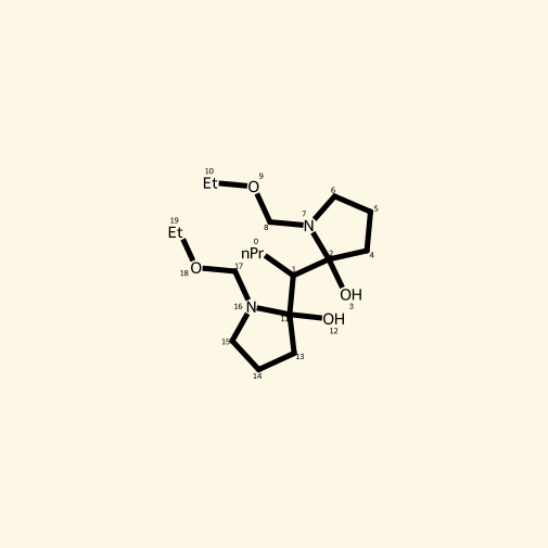 CCCC(C1(O)CCCN1COCC)C1(O)CCCN1COCC